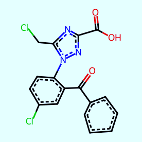 O=C(O)c1nc(CCl)n(-c2ccc(Cl)cc2C(=O)c2ccccc2)n1